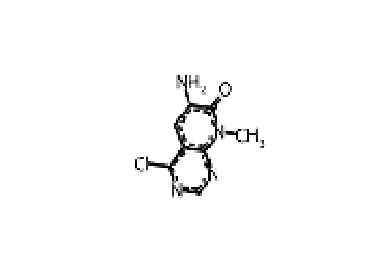 Cn1c(=O)c(N)cc2c(Cl)ncnc21